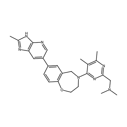 Cc1nc2cc(-c3ccc4c(c3)CN(c3nc(CN(C)C)nc(C)c3C)CCO4)cnc2[nH]1